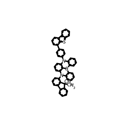 CC1(C)c2ccccc2-c2cccc(N3c4ccccc4B4c5ccccc5N(c5ccc(-c6cccc7c6sc6ccccc67)cc5)c5cccc3c54)c21